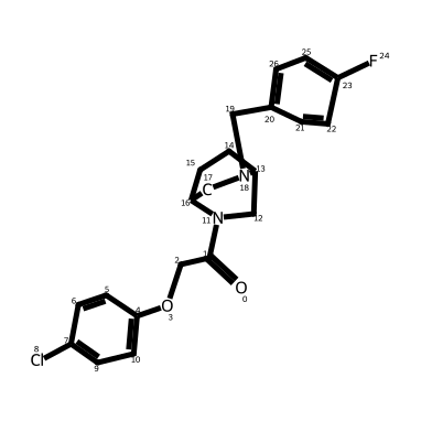 O=C(COc1ccc(Cl)cc1)N1CC2CCC1CN2Cc1ccc(F)cc1